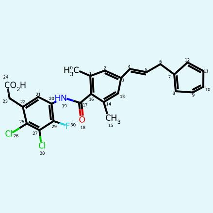 Cc1cc(/C=C/Cc2ccccc2)cc(C)c1C(=O)Nc1cc(CC(=O)O)c(Cl)c(Cl)c1F